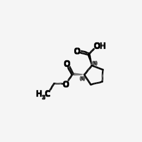 CCOC(=O)[C@H]1CCC[C@@H]1C(=O)O